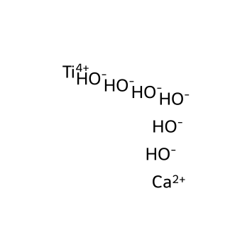 [Ca+2].[OH-].[OH-].[OH-].[OH-].[OH-].[OH-].[Ti+4]